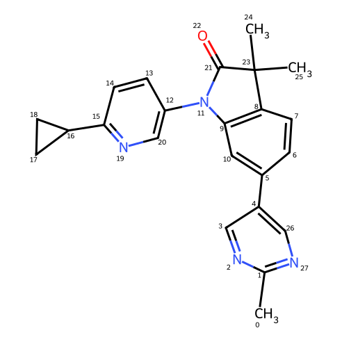 Cc1ncc(-c2ccc3c(c2)N(c2ccc(C4CC4)nc2)C(=O)C3(C)C)cn1